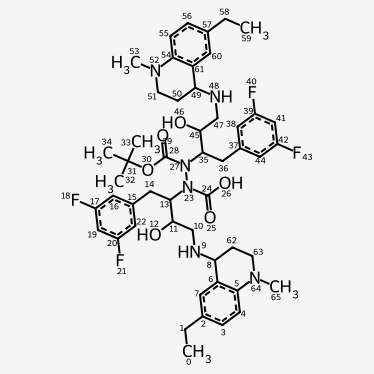 CCc1ccc2c(c1)C(NCC(O)C(Cc1cc(F)cc(F)c1)N(C(=O)O)N(C(=O)OC(C)(C)C)C(Cc1cc(F)cc(F)c1)C(O)CNC1CCN(C)c3ccc(CC)cc31)CCN2C